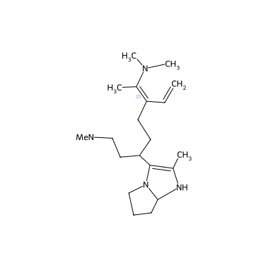 C=C/C(CCC(CCNC)C1=C(C)NC2CCCN12)=C(/C)N(C)C